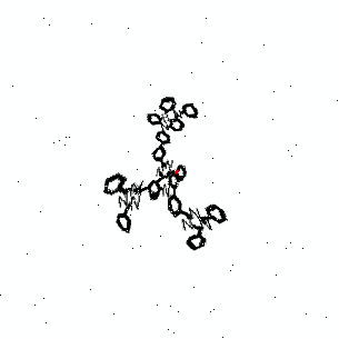 c1ccc(-c2cc(-c3cc(-c4nc(-c5ccccc5)nc(-c5ccccc5)n4)ccc3-n3c4ccccc4c4cc(-c5nc(-c6ccccc6)nc(-c6ccccc6)n5)ccc43)nc(-c3cccc(-c4ccc(N5c6ccccc6B6c7ccccc7N(c7ccccc7)c7cccc5c76)cc4)c3)n2)cc1